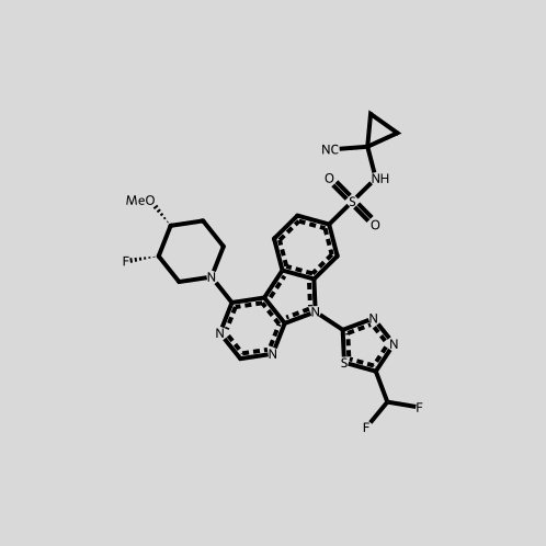 CO[C@@H]1CCN(c2ncnc3c2c2ccc(S(=O)(=O)NC4(C#N)CC4)cc2n3-c2nnc(C(F)F)s2)C[C@@H]1F